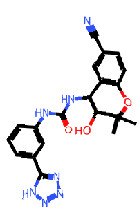 CC1(C)Oc2ccc(C#N)cc2C(NC(=O)Nc2cccc(-c3nnn[nH]3)c2)C1O